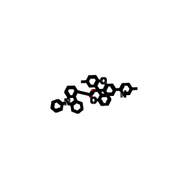 CC1C=NC(c2ccc3c(c2)OC2=C(CC(C)C=C2)C32C3=C(C=C(c4cccc5c4c4c(n5-c5ccccc5)CCCC4)CC3)Oc3ccccc32)=CC1